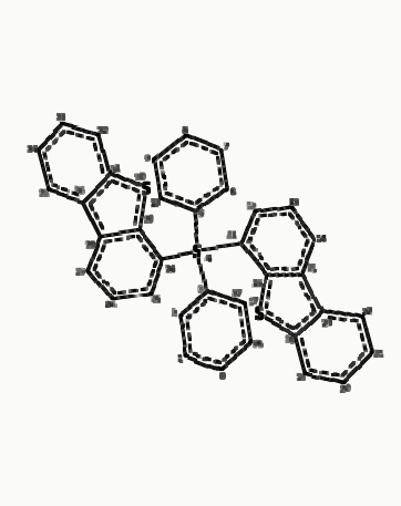 c1ccc(S(c2ccccc2)(c2cccc3c2sc2ccccc23)c2cccc3c2sc2ccccc23)cc1